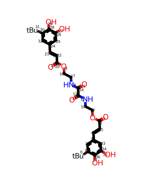 CC(C)(C)c1cc(C=CC(=O)OCCNC(=O)C(=O)NCCOC(=O)C=Cc2cc(O)c(O)c(C(C)(C)C)c2)cc(O)c1O